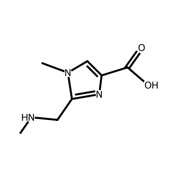 CNCc1nc(C(=O)O)cn1C